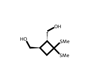 CSC1(SC)C[C@@H](CO)[C@@H]1CO